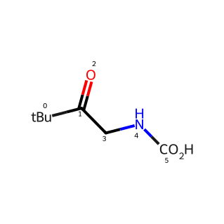 CC(C)(C)C(=O)CNC(=O)O